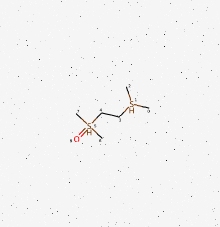 C[SH](C)CC[SH](C)(C)=O